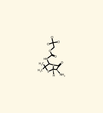 CC1(C)S[C@H]2[C@H](N)C(=O)N2C1NC(=O)OCC(Cl)(Cl)Cl